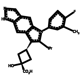 Cc1cc(-n2c(C(C)C)c([C@H]3C[C@](O)(C(=O)O)C3)c3cc4[nH]ncc4cc32)ccc1F